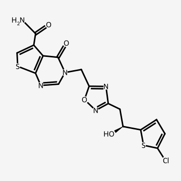 NC(=O)c1csc2ncn(Cc3nc(C[C@H](O)c4ccc(Cl)s4)no3)c(=O)c12